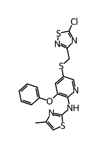 Cc1csc(Nc2ncc(SCc3nsc(Cl)n3)cc2Oc2ccccc2)n1